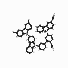 Cc1ccc2c(c1)c1cc(C)ccc1n2-c1ccc2c(c1)c1ccccc1n2C1=CCCC(C2=C(C#N)C=CC(n3c4ccccc4c4cc(C#N)ccc43)C2)=C1